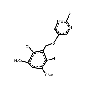 COc1cc(C)c(Cl)c(COc2cnc(Cl)nc2)c1F